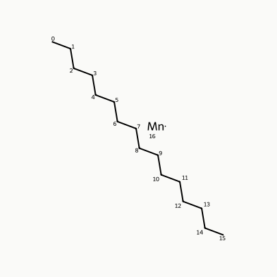 CCCCCCCCCCCCCCCC.[Mn]